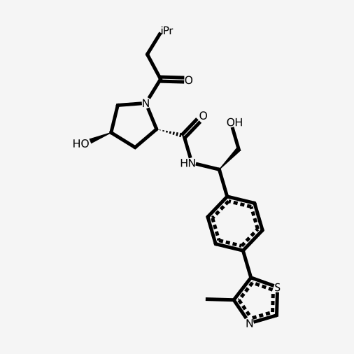 Cc1ncsc1-c1ccc([C@H](CO)NC(=O)[C@@H]2C[C@@H](O)CN2C(=O)CC(C)C)cc1